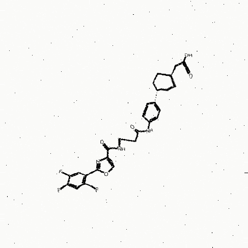 O=C(O)C[C@H]1CC[C@H](c2ccc(NC(=O)CCNC(=O)c3coc(-c4cc(F)c(F)cc4F)n3)cc2)CC1